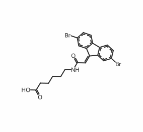 O=C(O)CCCCCNC(=O)C=C1c2cc(Br)ccc2-c2ccc(Br)cc21